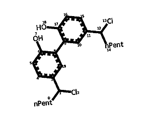 CCCCCC(Cl)c1ccc(O)c(-c2cc(C(Cl)CCCCC)ccc2O)c1